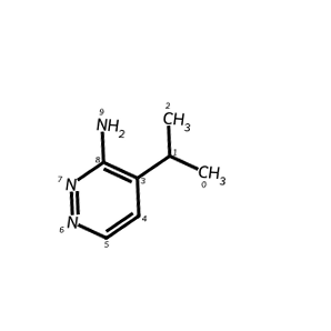 CC(C)c1ccnnc1N